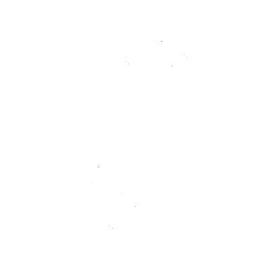 COc1nc(-c2ccc(F)c(-c3c(F)ccc(NC(=O)c4cn(C)c(=O)n(C)c4=O)c3Cl)c2Cl)cc2c1[C@H](N1CC(O)C1)CC2